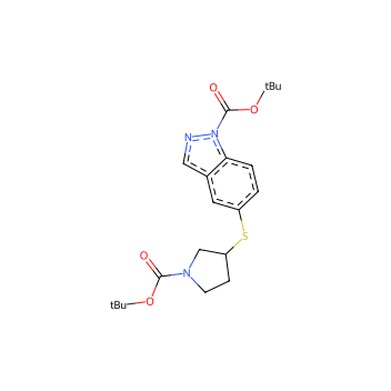 CC(C)(C)OC(=O)N1CCC(Sc2ccc3c(cnn3C(=O)OC(C)(C)C)c2)C1